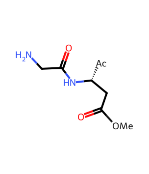 COC(=O)C[C@H](NC(=O)CN)C(C)=O